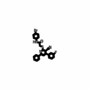 N#Cc1c(-c2cccc(F)c2)cc(-c2ccccc2)nc1SCC(=O)Nc1ccc(Br)cc1